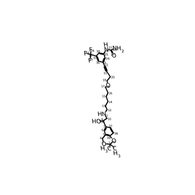 CC1(C)OCc2cc([C@@H](O)CNCCCCCCOCCC#Cc3cc(NC(N)=O)cc(C(F)(F)F)c3)ccc2O1